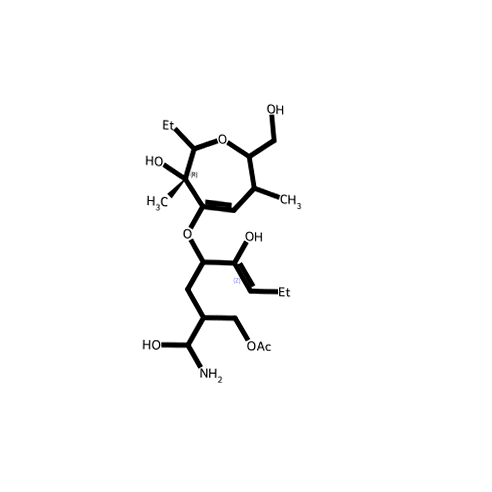 CC/C=C(\O)C(CC(COC(C)=O)C(N)O)OC1=CC(C)C(CO)OC(CC)[C@@]1(C)O